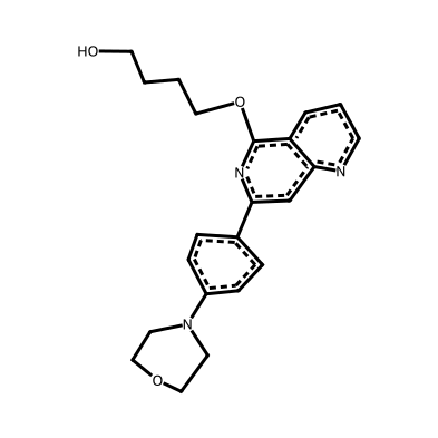 OCCCCOc1nc(-c2ccc(N3CCOCC3)cc2)cc2ncccc12